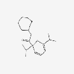 CC(C)C1=CC=CC(C(=O)CC2CCCCC2)(C(C)C)[CH]1